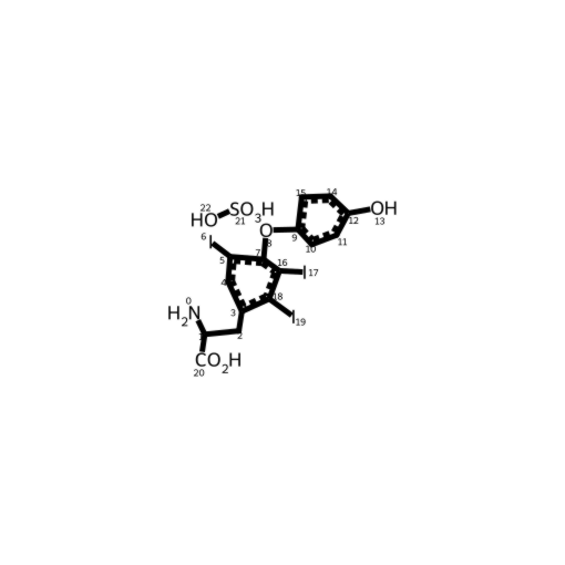 NC(Cc1cc(I)c(Oc2ccc(O)cc2)c(I)c1I)C(=O)O.O=S(=O)(O)O